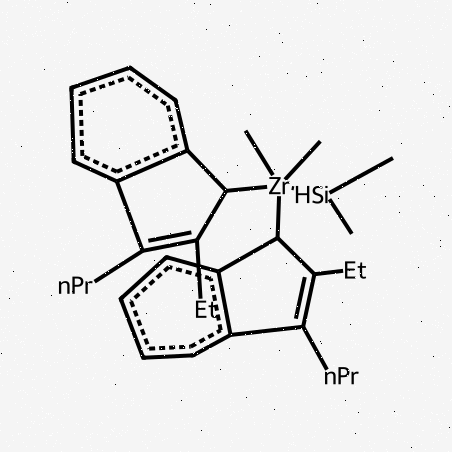 CCCC1=C(CC)[CH]([Zr]([CH3])([CH3])([CH]2C(CC)=C(CCC)c3ccccc32)[SiH](C)C)c2ccccc21